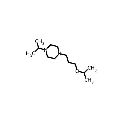 CC(C)OCCCN1CCN(C(C)C)CC1